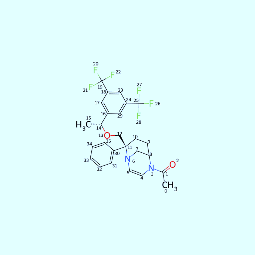 CC(=O)N1C=CN2CC1CC[C@@]2(CO[C@H](C)c1cc(C(F)(F)F)cc(C(F)(F)F)c1)c1ccccc1